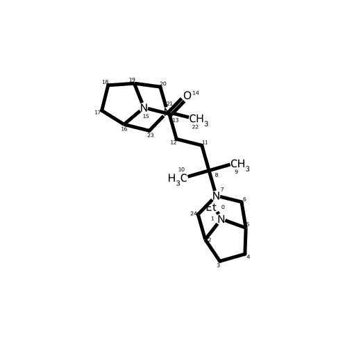 CCN1C2CCC1CN(C(C)(C)CCC(=O)N1C3CCC1CN(C)C3)C2